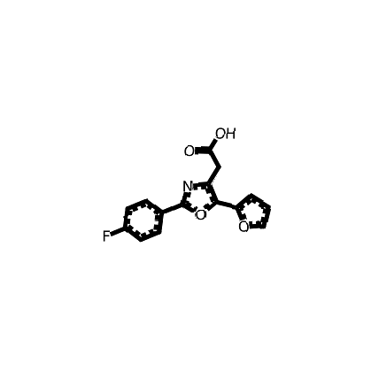 O=C(O)Cc1nc(-c2ccc(F)cc2)oc1-c1ccco1